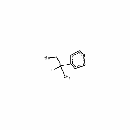 CC(C)(C)CC(C)(F)c1ccncc1